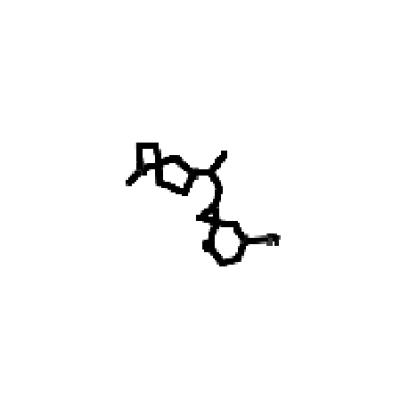 CC(C)N1CCOC2(CC2CC(C)N2CCC3(CCN3C)C2)C1